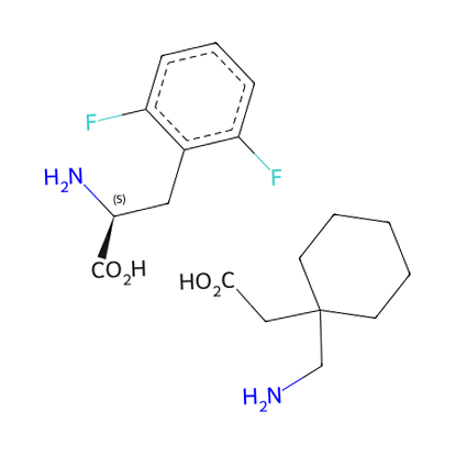 NCC1(CC(=O)O)CCCCC1.N[C@@H](Cc1c(F)cccc1F)C(=O)O